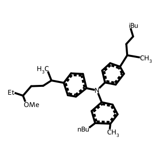 CCCCc1cc(N(c2ccc(C(C)CCC(C)CC)cc2)c2ccc(C(C)CCC(CC)OC)cc2)ccc1C